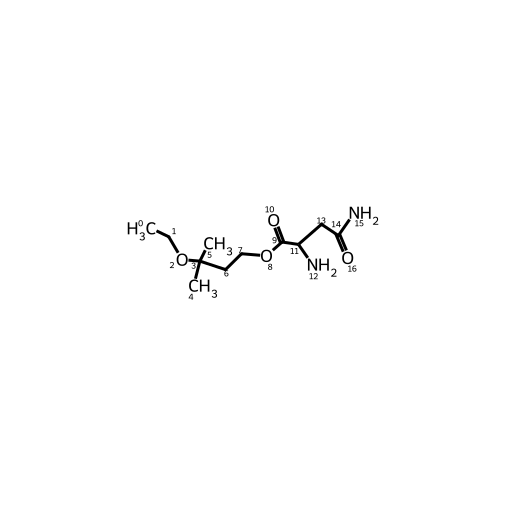 CCOC(C)(C)CCOC(=O)C(N)CC(N)=O